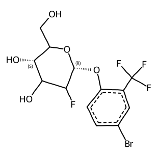 OCC1O[C@H](Oc2ccc(Br)cc2C(F)(F)F)C(F)C(O)[C@@H]1O